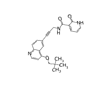 CC(C)(C)COc1ccnc2ccc(C#CCNC(=O)c3ccc[nH]c3=O)cc12